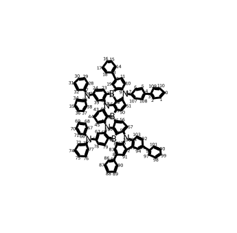 c1ccc(-c2ccc(N3c4ccc(-c5ccccc5)cc4B4c5ccc(N(c6ccccc6)c6ccccc6)cc5N5c6cccc7c6B(c6ccc3c4c65)c3ccc4c5c3N7c3cc(N(c6ccccc6)c6ccccc6)ccc3B5c3cc(-c5ccccc5)cc5c6cc(-c7ccccc7)ccc6n-4c35)cc2)cc1